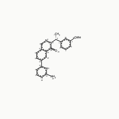 COc1cccc([C@@H](C)n2ncc3ccc(-c4ccnc(N)n4)cc3c2=O)c1